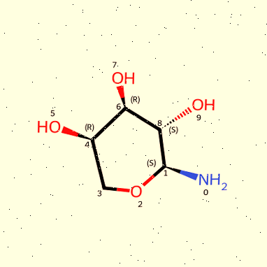 N[C@H]1OC[C@@H](O)[C@@H](O)[C@@H]1O